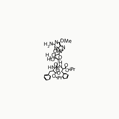 COc1nc(N)nc2c1ncn2C1O[C@H](COP(=O)(NC(Cc2ccccc2)C(=O)OC(C)C)NC(Cc2ccccc2)C(=O)OC(C)C)[C@H](O)C1(C)O